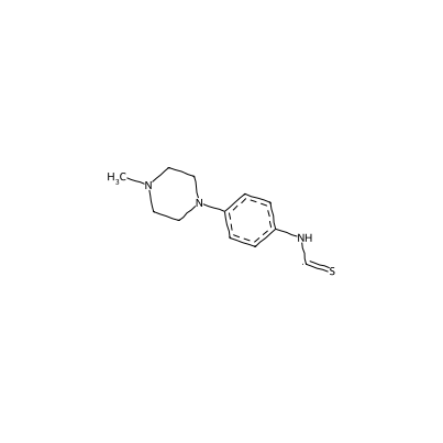 CN1CCN(c2ccc(N[C]=S)cc2)CC1